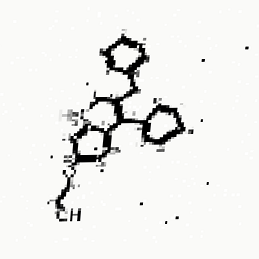 CCC(Cc1ccccc1)=C(c1ccccc1)c1ccc(OCCO)cc1